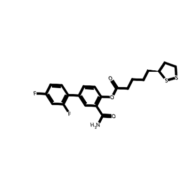 NC(=O)c1cc(-c2ccc(F)cc2F)ccc1OC(=O)CCCC[C@H]1CCSS1